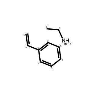 C=Cc1ccccc1.CCN